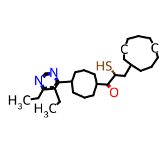 CCc1ncnc(C2CCCC(C(=O)C(S)CC3CCCCCCCCC3)CCC2)c1CC